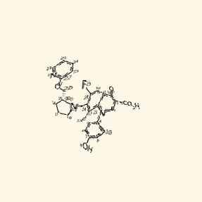 O=C(O)c1cn(-c2ccc(O)cc2)c2c(F)c(N3CCC[C@@H]3COc3ccccn3)c(F)cc2c1=O